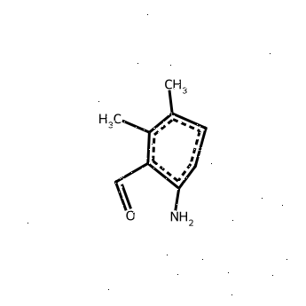 Cc1ccc(N)c(C=O)c1C